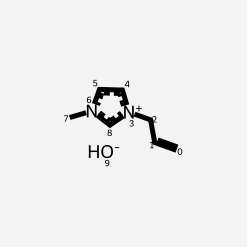 C=CC[n+]1ccn(C)c1.[OH-]